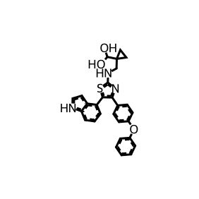 OC(O)C1(CNc2nc(-c3ccc(Oc4ccccc4)cc3)c(-c3cccc4[nH]ccc34)s2)CC1